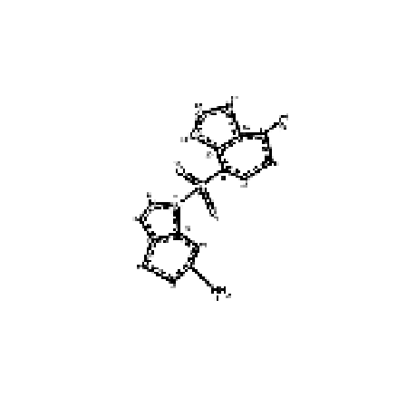 Nc1ccc2cnn(S(=O)(=O)c3ccc(Cl)c4nonc34)c2c1